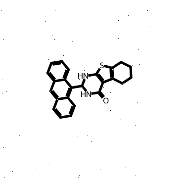 O=C1NC(c2c3ccccc3cc3ccccc23)Nc2sc3c(c21)CCCC3